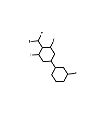 FC1CCCC(C2CC(F)C(C(F)F)C(F)C2)C1